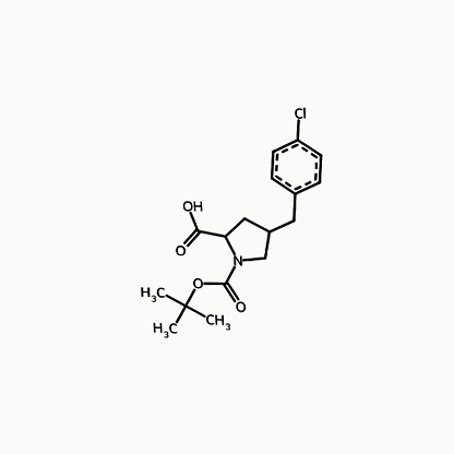 CC(C)(C)OC(=O)N1CC(Cc2ccc(Cl)cc2)CC1C(=O)O